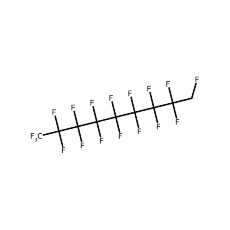 F[CH]C(F)(F)C(F)(F)C(F)(F)C(F)(F)C(F)(F)C(F)(F)C(F)(F)C(F)(F)F